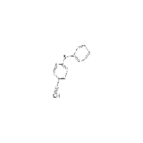 C#Cc1ccc(Sc2ccccc2)cc1